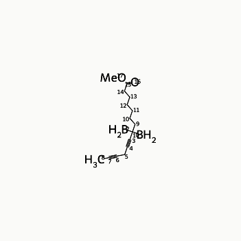 BC(B)(C#CCC#CC)CCCCCCC(=O)OC